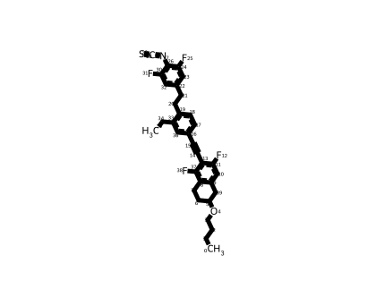 CCCCOC1CCc2c(cc(F)c(C#Cc3ccc(CCc4cc(F)c(N=C=S)c(F)c4)c(CC)c3)c2F)C1